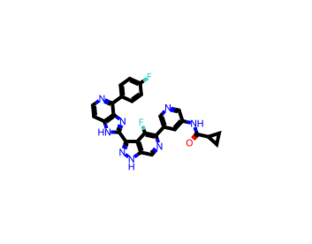 O=C(Nc1cncc(-c2ncc3[nH]nc(-c4nc5c(-c6ccc(F)cc6)nccc5[nH]4)c3c2F)c1)C1CC1